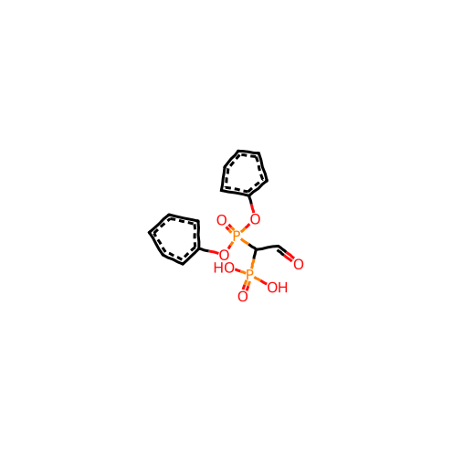 O=CC(P(=O)(O)O)P(=O)(Oc1ccccc1)Oc1ccccc1